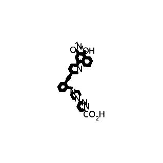 CN(C)C(=O)c1cc(-c2ccc(C#Cc3ccccc3CN3CCN(c4ccc(C(=O)O)nn4)CC3)cn2)c2ccccc2c1O